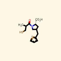 CC(CS)C(=O)N1CC(Cc2cccs2)C[C@H]1C(=O)O